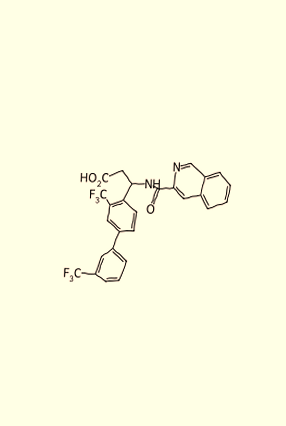 O=C(O)CC(NC(=O)c1cc2ccccc2cn1)c1ccc(-c2cccc(C(F)(F)F)c2)cc1C(F)(F)F